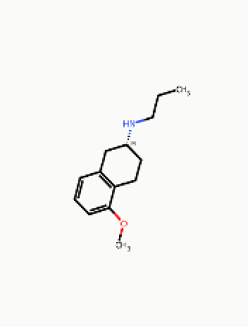 CCCN[C@@H]1CCc2c(cccc2OC)C1